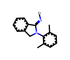 CCN=C1c2ccccc2CN1c1c(C)cccc1C